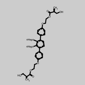 C=C(CO)C(=O)OCCOc1ccc(-c2ccc(-c3ccc(OCCOC(=O)C(=C)CO)cc3)c(CCCCCCC)c2CCCCCCC)cc1